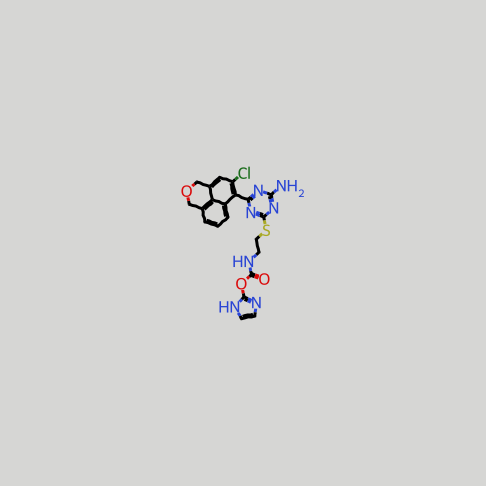 Nc1nc(SCCNC(=O)Oc2ncc[nH]2)nc(-c2c(Cl)cc3c4c(cccc24)COC3)n1